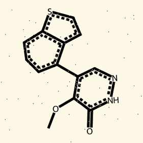 COc1c(-c2cccc3sccc23)cn[nH]c1=O